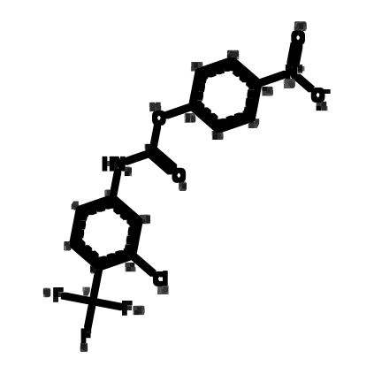 O=C(Nc1ccc(C(F)(F)F)c(Cl)c1)Oc1ccc([N+](=O)[O-])cc1